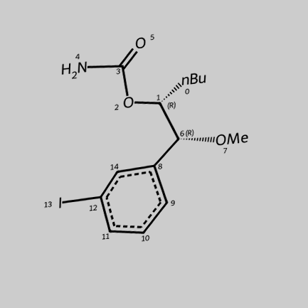 CCCC[C@@H](OC(N)=O)[C@H](OC)c1cccc(I)c1